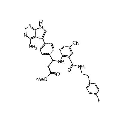 COC(=O)CC(Nc1ncc(C#N)cc1C(=O)NCCc1ccc(F)cc1)c1ccc(-c2c[nH]c3ncnc(N)c23)cc1